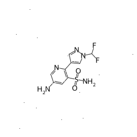 Nc1cnc(-c2cnn(C(F)F)c2)c(S(N)(=O)=O)c1